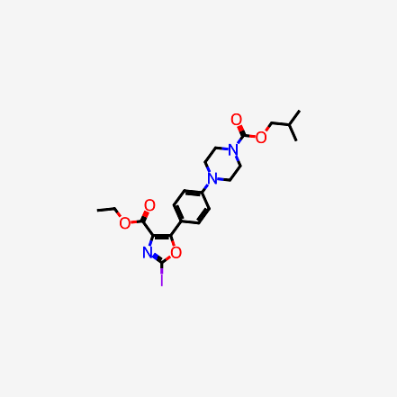 CCOC(=O)c1nc(I)oc1-c1ccc(N2CCN(C(=O)OCC(C)C)CC2)cc1